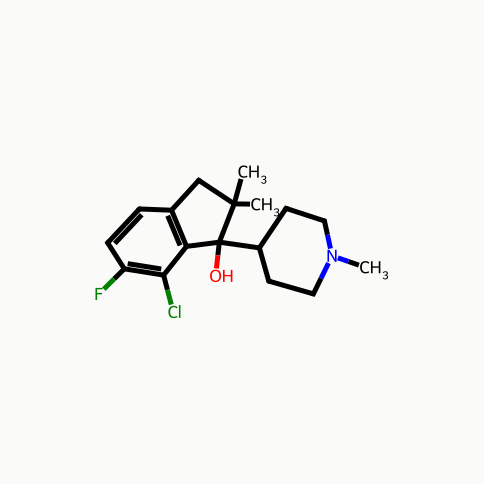 CN1CCC(C2(O)c3c(ccc(F)c3Cl)CC2(C)C)CC1